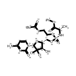 CC(C)OC(=O)[C@H](C)N[P@@](=S)(OCCSC(=O)C(C)(C)C)OC[C@H]1O[C@@H](n2ccc(N)nc2=O)C(Cl)(Cl)[C@@H]1O